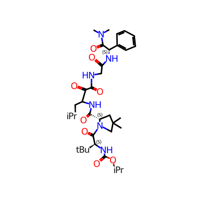 CC(C)CC(NC(=O)[C@@H]1CC(C)(C)CN1C(=O)[C@@H](NC(=O)OC(C)C)C(C)(C)C)C(=O)C(=O)NCC(=O)N[C@H](C(=O)N(C)C)c1ccccc1